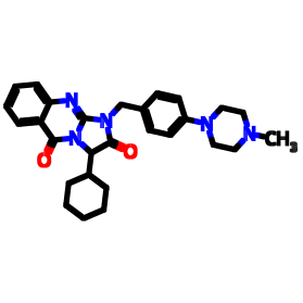 CN1CCN(c2ccc(CN3C(=O)C(C4CCCCC4)n4c3nc3ccccc3c4=O)cc2)CC1